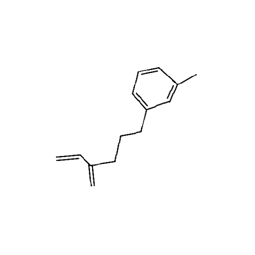 C=CC(=C)CCCc1cccc(C)c1